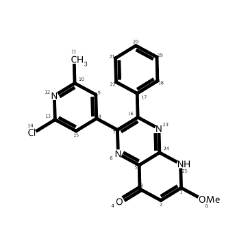 COc1cc(=O)c2nc(-c3cc(C)nc(Cl)c3)c(-c3ccccc3)nc2[nH]1